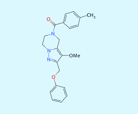 COc1c(COc2ccccc2)nn2c1CN(C(=O)c1ccc(C)cc1)CC2